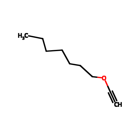 C#COCCCCCCC